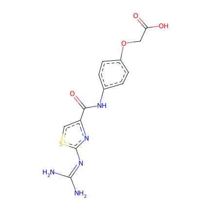 NC(N)=Nc1nc(C(=O)Nc2ccc(OCC(=O)O)cc2)cs1